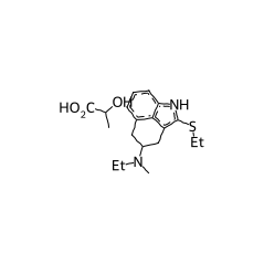 CC(O)C(=O)O.CCSc1[nH]c2cccc3c2c1CC(N(C)CC)C3